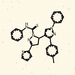 Cc1ccc(-c2nn(-c3ccccc3)cc2C2CC(c3cccs3)=NN2C(=S)Nc2ccccc2)cc1